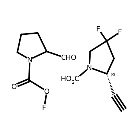 C#C[C@H]1CC(F)(F)CN1C(=O)O.O=CC1CCCN1C(=O)OF